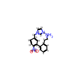 NCCc1ccccc1-c1cc(Cn2ccnc2)ccc1[N+](=O)[O-]